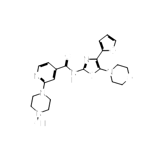 CN1CCN(c2cc(C(=O)Nc3nc(-c4ccco4)c(N4CCOCC4)s3)ccn2)CC1